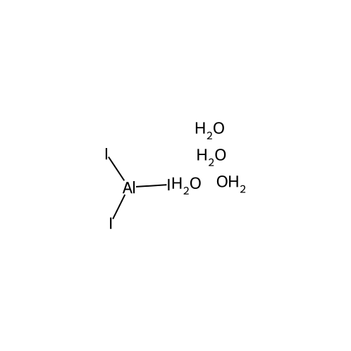 O.O.O.O.[I][Al]([I])[I]